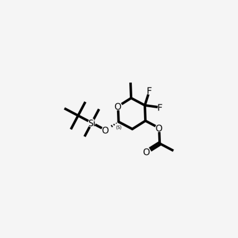 CC(=O)OC1C[C@H](O[Si](C)(C)C(C)(C)C)OC(C)C1(F)F